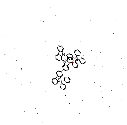 c1ccc([Si](c2ccccc2)(c2ccccc2)c2ccc(-n3c4ccccc4c4cccc(-n5c6ccccc6c6ccc(-c7ccc8c(c7)[Si](c7ccccc7)(c7ccccc7)c7ccccc7-8)cc65)c43)cc2)cc1